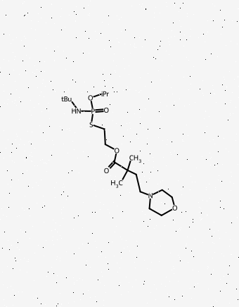 CC(C)OP(=O)(NC(C)(C)C)SCCOC(=O)C(C)(C)CCN1CCOCC1